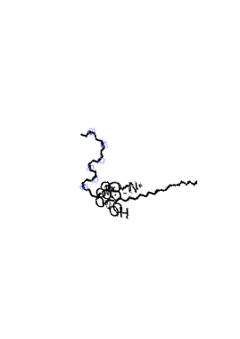 CC/C=C\C/C=C\C/C=C\C/C=C\C/C=C\C/C=C\CCC(=O)O[C@@H](CO)C(OP(=O)([O-])OCC[N+](C)(C)C)C(=O)CCCCCCCCCCCCCCCCC